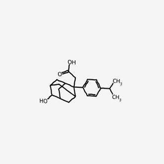 CC(C)c1ccc(C2(CC(=O)O)C3CC4CC2CC(C3)C4O)cc1